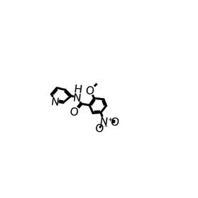 COc1ccc([N+](=O)[O-])cc1C(=O)Nc1cccnc1